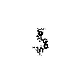 Cc1cc(C(=O)Nc2cccc(-c3cncc(C(=O)N=S(C)(=O)c4cccc(CC(=O)O)c4)c3)c2)n(C)n1